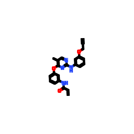 C#CCOc1cccc(Nc2ncc(C)c(Oc3cccc(NC(=O)C=C)c3)n2)c1